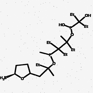 B[C@H]1CCC(CC(C)(CC)OP(C)C(CC)(CC)C(C)(CC)OP(O)C(O)(CC)CC)O1